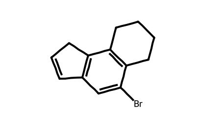 Brc1cc2c(c3c1CCCC3)CC=C2